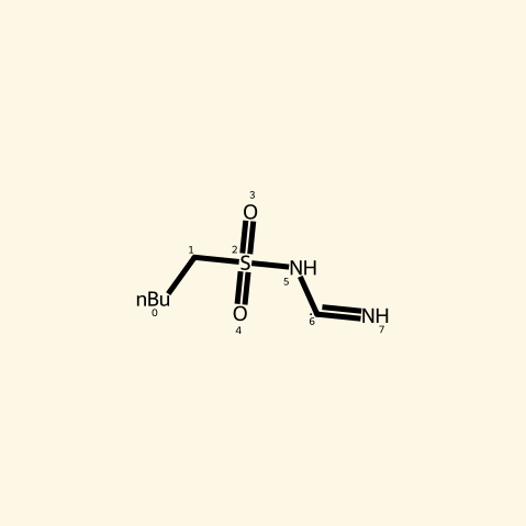 CCCCCS(=O)(=O)N[C]=N